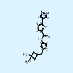 CC1(C)CC(Cn2cc(NC(=O)c3csc(-c4cn[nH]c4)n3)cn2)C1